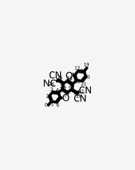 Cc1ccc2c(c1)oc1c(=C(C#N)C#N)c3c(oc4cc(C)ccc43)c(=C(C#N)C#N)c12